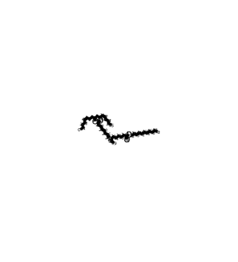 CCCC/C=C\CCC(CC/C=C\CCCC)OC(=O)CCCCCCCN(CC)CCCCCC(=O)OCCCCCCCCCCC